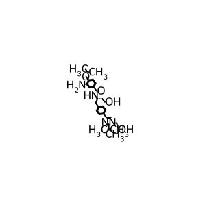 CC(C)Oc1ccc(C(=O)N[C@H](CCO)Cc2ccc(-c3cn(CCO)c(C(C)(C)C)n3)cc2)cc1N